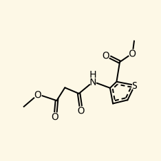 COC(=O)CC(=O)Nc1ccsc1C(=O)OC